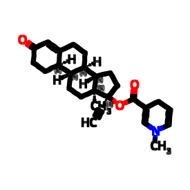 C#C[C@@]1(OC(=O)C2=CN(C)C=CC2)CC[C@H]2[C@@H]3CCC4=CC(=O)CC[C@@H]4[C@H]3CC[C@@]21C